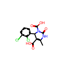 CC1=C(C(=O)O)C(c2cccc(Cl)c2Cl)N(C(=O)O)C(=O)N1